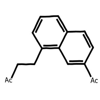 CC(=O)CCc1cccc2ccc(C(C)=O)cc12